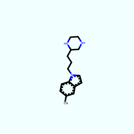 N#Cc1ccc2c(ccn2CCCC2CNCCN2)c1